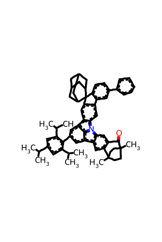 CC(C)c1cc(C(C)C)c(-c2cc3c4cc5c(cc4n4c6cc7c(cc6c(c2)c34)C2(c3ccc(-c4ccccc4)cc3-7)C3CC4CC(C3)CC2C4)C(=O)C2(C)CCC5(C)CC2)c(C(C)C)c1